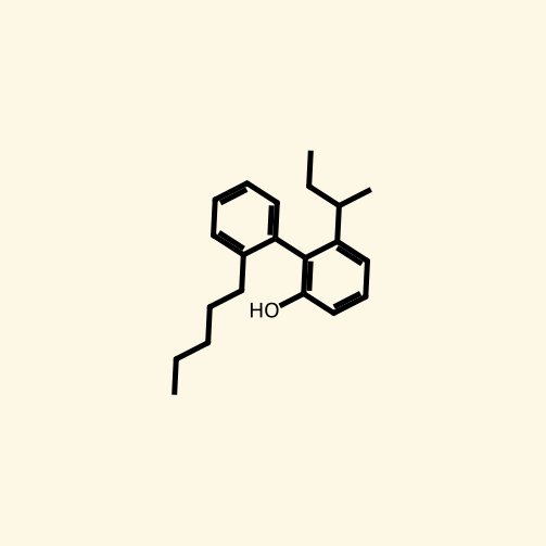 CCCCCc1ccccc1-c1c(O)cccc1C(C)CC